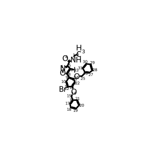 CCNC(=O)c1noc(-c2cc(Br)c(OCc3ccccc3)cc2OCc2ccccc2)c1I